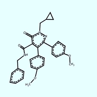 COc1ccc(-c2nn(CC3CC3)c(=O)c(C(=O)NCc3ccccc3)c2-c2ccc(OC)cc2)cc1